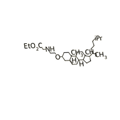 CCOC(=O)CNCCO[C@H]1CC[C@@]2(C)C(=CC[C@H]3C4CC[C@H]([C@H](C)CCCC(C)C)[C@@]4(C)CC[C@@H]32)C1